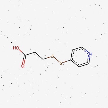 O=C(O)CCSSc1ccncc1